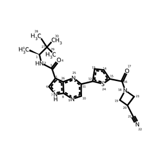 C[C@H](NC(=O)c1c[nH]c2ncc(-c3ccc(C(=O)N4CC(C#N)C4)s3)nc12)C(C)(C)C